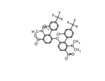 CN(C)c1c([N+](=O)[O-])ccc(Oc2ccc([N+](=O)[O-])c(N(C)C)c2-c2ccc(C(F)(F)F)cc2Cl)c1-c1ccc(C(F)(F)F)cc1Cl